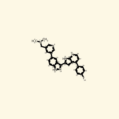 CN(C)Cc1cncc(-c2ccc3[nH]nc(-c4cc5c(-c6ccc(F)cc6)ccnc5[nH]4)c3c2)c1